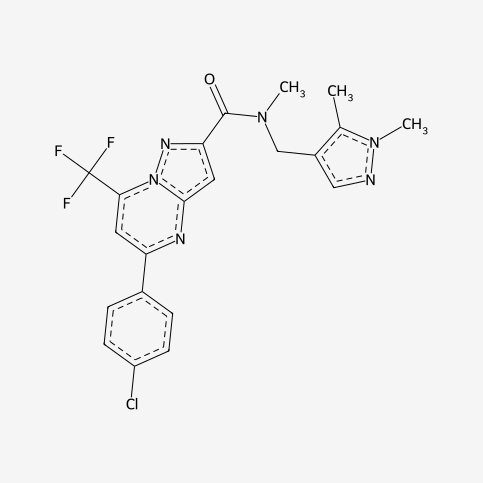 Cc1c(CN(C)C(=O)c2cc3nc(-c4ccc(Cl)cc4)cc(C(F)(F)F)n3n2)cnn1C